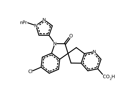 CCCn1cc(N2C(=O)C3(Cc4cc(C(=O)O)cnc4C3)c3ccc(Cl)cc32)cn1